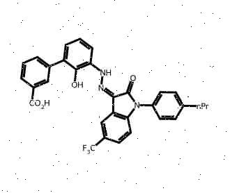 CCCc1ccc(N2C(=O)C(=NNc3cccc(-c4cccc(C(=O)O)c4)c3O)c3cc(C(F)(F)F)ccc32)cc1